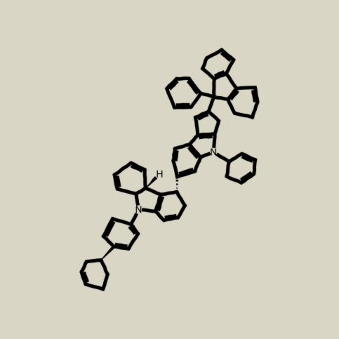 C1=CCC(n2c3c(c4ccc([C@@H]5CC=CC6=C5[C@H]5C=CC=CC5N6c5ccc([C@@H]6CC=CCC6)cc5)cc42)C=C(C2(c4ccccc4)C4=C(C=CCC4)C4=C2CCC=C4)C3)C=C1